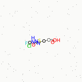 O=C(O)CC1CCC(c2ccc(-c3cn4cc(C(=O)Nc5ccc(F)c(Cl)c5)nc4s3)cc2)CC1